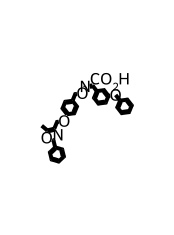 Cc1oc(-c2ccccc2)nc1COc1ccc(CON=C(C(=O)O)c2cccc(Oc3ccccc3)c2)cc1